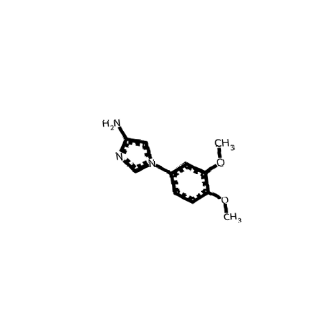 COc1[c]cc(-n2cnc(N)c2)cc1OC